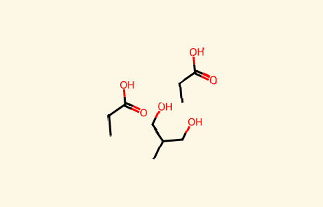 CC(CO)CO.CCC(=O)O.CCC(=O)O